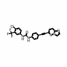 O=C(Nc1ccc(C#Cc2ccc3nccn3n2)cc1)Nc1ccc(Cl)c(C(F)(F)F)c1